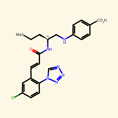 CSCC[C@@H](CNc1ccc(C(=O)O)cc1)NC(=O)/C=C/c1cc(Cl)ccc1-n1cnnn1